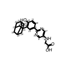 O=C(O)CNc1cnc(-c2ccc(O)c(C34CC5CC(CC(C5)C3)C4)c2)nc1